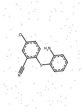 N#Cc1cc(Cl)ccc1Sc1ccccc1N